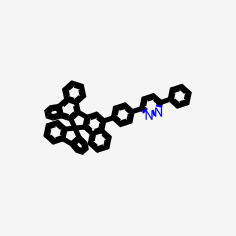 c1ccc(-c2ccc(-c3ccc(-c4cc5c(c6ccccc46)C4(c6ccccc6-c6ccccc64)c4c-5c5ccccc5c5ccccc45)cc3)nn2)cc1